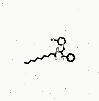 CCCCCCCCCC(=O)NC(CN1CCCC(O)C1)C(O)c1ccccc1